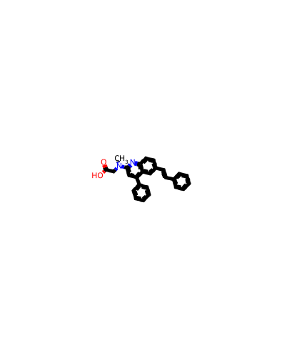 CN(CC(=O)O)c1cc(-c2ccccc2)c2cc(C=Cc3ccccc3)ccc2n1